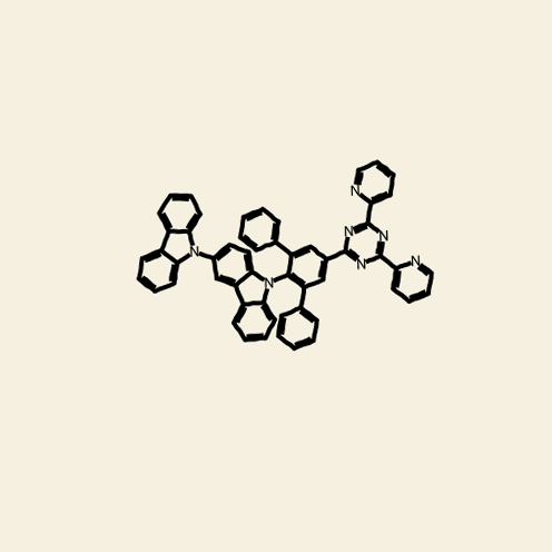 c1ccc(-c2cc(-c3nc(-c4ccccn4)nc(-c4ccccn4)n3)cc(-c3ccccc3)c2-n2c3ccccc3c3cc(-n4c5ccccc5c5ccccc54)ccc32)cc1